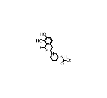 CCC(=O)N[C@H]1CCCN(CCc2ccc(O)c(O)c2C(F)F)C1